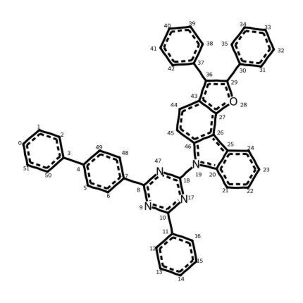 c1ccc(-c2ccc(-c3nc(-c4ccccc4)nc(-n4c5ccccc5c5c6oc(-c7ccccc7)c(-c7ccccc7)c6ccc54)n3)cc2)cc1